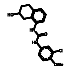 COc1ccc(NC(=O)Nc2cccc3c2CC(O)CC3)cc1Cl